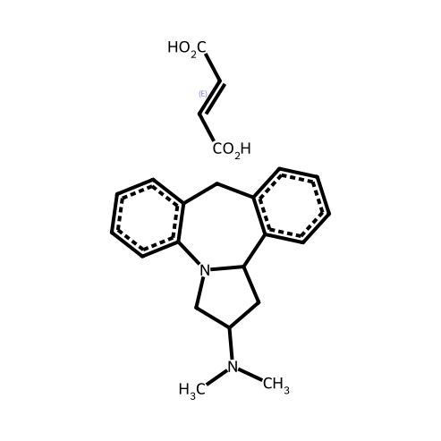 CN(C)C1CC2c3ccccc3Cc3ccccc3N2C1.O=C(O)/C=C/C(=O)O